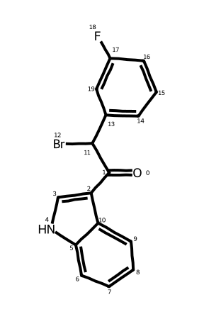 O=C(c1c[nH]c2ccccc12)C(Br)c1cccc(F)c1